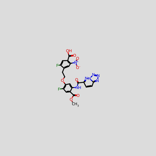 COC(=O)c1cc(F)c(OCCc2cc([N+](=O)[O-])c(C(=O)O)cc2F)cc1NC(=O)c1ccc2nnnn2n1